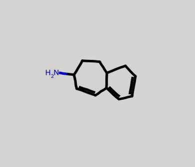 NC1C=CC2=CC=CCC2CC1